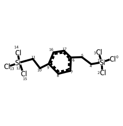 Cl[Si](Cl)(Cl)CCc1ccc(CC[Si](Cl)(Cl)Cl)cc1